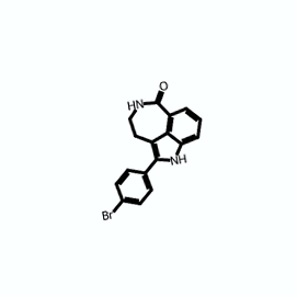 O=C1NCCc2c(-c3ccc(Br)cc3)[nH]c3cccc1c23